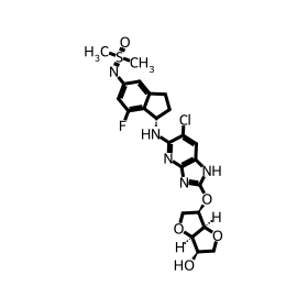 CS(C)(=O)=Nc1cc(F)c2c(c1)CC[C@@H]2Nc1nc2nc(O[C@@H]3CO[C@H]4[C@@H]3OC[C@H]4O)[nH]c2cc1Cl